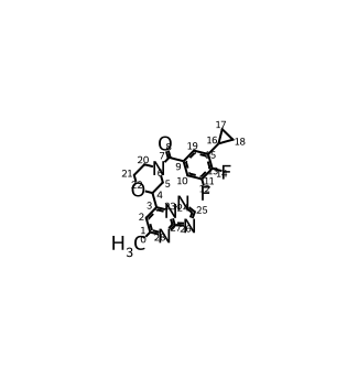 Cc1cc(C2CN(C(=O)c3cc(F)c(F)c(C4CC4)c3)CCO2)n2ncnc2n1